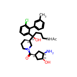 CC(=O)NCCC[C@@](O)(c1cccc(Cl)c1-c1cccc(C)c1)[C@@H]1CCCN(C(=O)[C@H]2C[C@@H](N)[C@@H](O)C2)C1